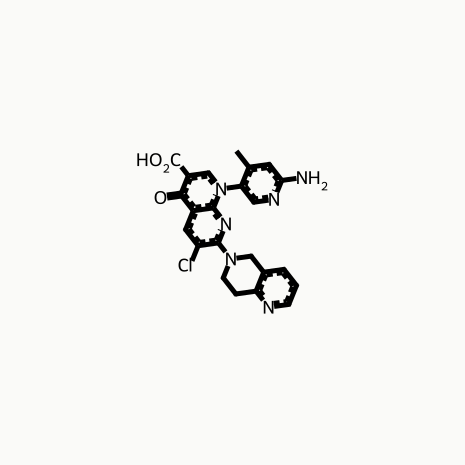 Cc1cc(N)ncc1-n1cc(C(=O)O)c(=O)c2cc(Cl)c(N3CCc4ncccc4C3)nc21